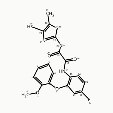 COc1ccccc1Oc1cc(F)ccc1NC(=O)C(=O)Nc1nc(S)c(C)s1